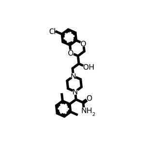 Cc1cccc(C)c1C(C(N)=O)N1CCN(CC(O)C2COc3ccc(Cl)cc3O2)CC1